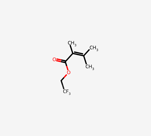 CC(C)=C(C)C(=O)OCC(F)(F)F